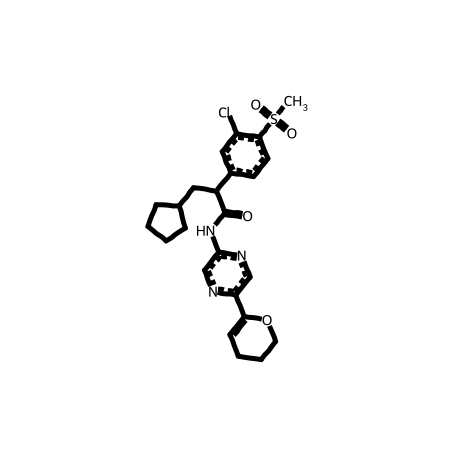 CS(=O)(=O)c1ccc(C(CC2CCCC2)C(=O)Nc2cnc(C3=CCCCO3)cn2)cc1Cl